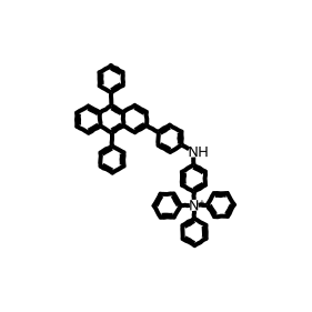 c1ccc(-c2c3ccccc3c(-c3ccccc3)c3cc(-c4ccc(Nc5ccc([N+](c6ccccc6)(c6ccccc6)c6ccccc6)cc5)cc4)ccc23)cc1